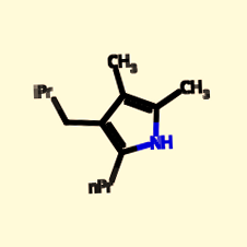 CCCc1[nH]c(C)c(C)c1CC(C)C